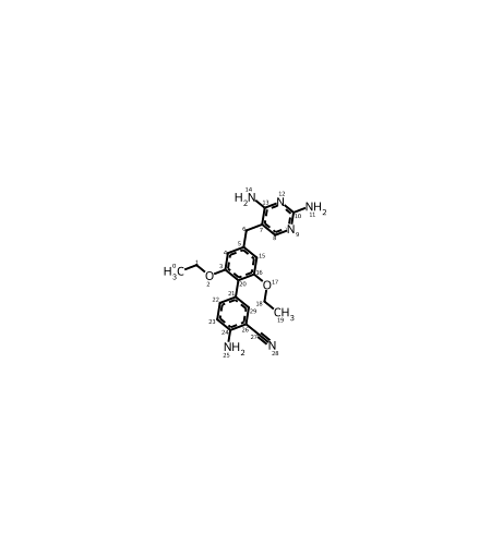 CCOc1cc(Cc2cnc(N)nc2N)cc(OCC)c1-c1ccc(N)c(C#N)c1